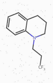 FC(F)(F)CCN1CCCc2ccccc21